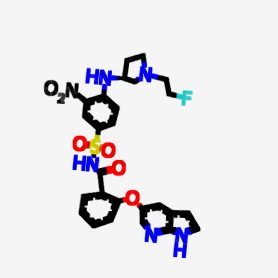 O=C(NS(=O)(=O)c1ccc(N[C@H]2CCN(CCF)C2)c([N+](=O)[O-])c1)c1ccccc1Oc1cnc2[nH]ccc2c1